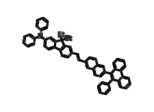 CCC1(CC)c2cc(/C=C/c3ccc4cc(-c5c(-c6ccccc6)c6ccccc6c6ccccc56)ccc4c3)ccc2-c2ccc(N(c3ccccc3)c3ccccc3)cc21